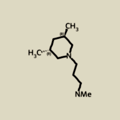 CNCCCN1C[C@H](C)C[C@@H](C)C1